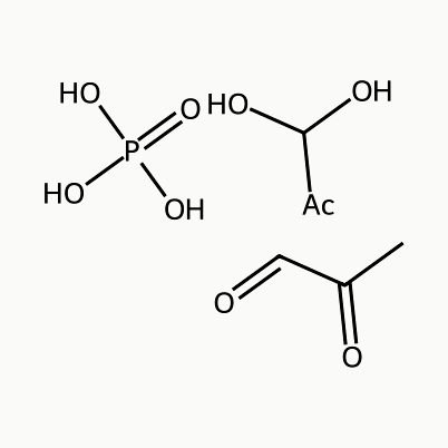 CC(=O)C(O)O.CC(=O)C=O.O=P(O)(O)O